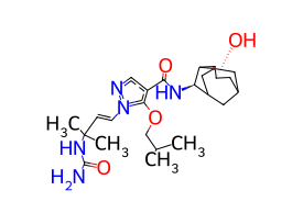 CC(C)COc1c(C(=O)N[C@@H]2C3CC4CC(C3)C2C[C@@H](O)C4)cnn1/C=C/C(C)(C)NC(N)=O